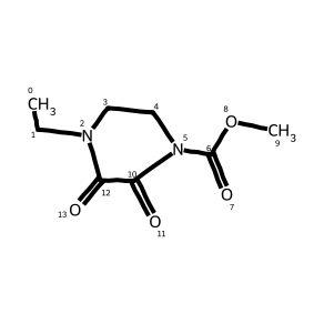 CCN1CCN(C(=O)OC)C(=O)C1=O